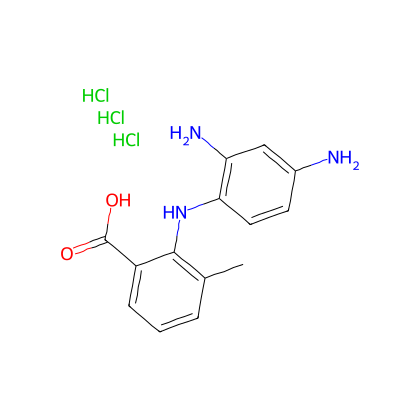 Cc1cccc(C(=O)O)c1Nc1ccc(N)cc1N.Cl.Cl.Cl